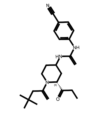 C=C(Nc1ccc(C#N)cc1)NC1CCN(C(=C)CC(C)(C)C)[C@@H](C(=O)CC)C1